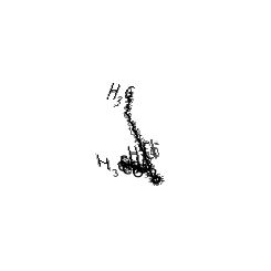 CCCCCCCCCCCCCCCCCCOCC(COC(=O)NCC[N+](C)(C)C)OCc1ccccc1.[Cl-]